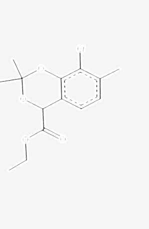 CCOC(=O)C1OC(C)(C)Oc2c1ccc(C)c2Cl